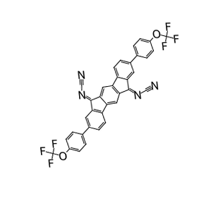 N#C/N=c1/c2cc(-c3ccc(OC(F)(F)F)cc3)ccc2c2cc3/c(=N/C#N)c4cc(-c5ccc(OC(F)(F)F)cc5)ccc4c3cc12